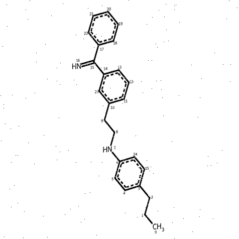 CCCc1ccc(NCCc2cccc(C(=N)c3ccccc3)c2)cc1